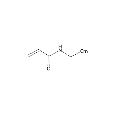 C=CC(=O)N[CH2][Cm]